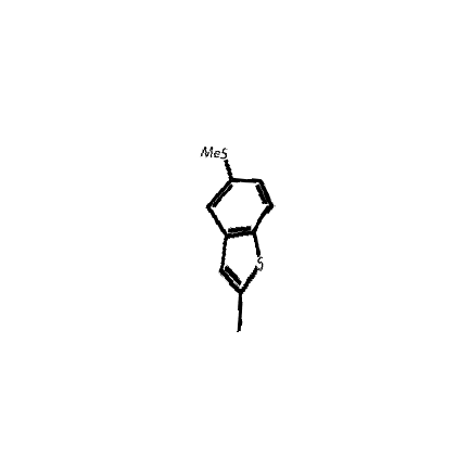 CSc1ccc2sc(C)cc2c1